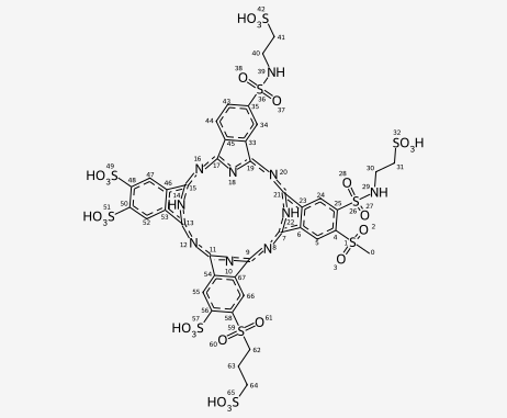 CS(=O)(=O)c1cc2c3nc4nc(nc5[nH]c(nc6nc(nc([nH]3)c2cc1S(=O)(=O)NCCS(=O)(=O)O)-c1cc(S(=O)(=O)NCCS(=O)(=O)O)ccc1-6)c1cc(S(=O)(=O)O)c(S(=O)(=O)O)cc51)-c1cc(S(=O)(=O)O)c(S(=O)(=O)CCCS(=O)(=O)O)cc1-4